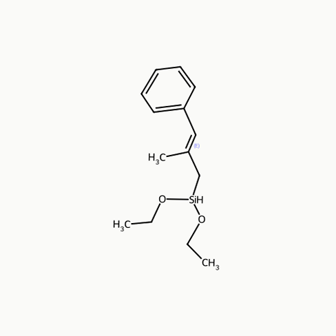 CCO[SiH](C/C(C)=C/c1ccccc1)OCC